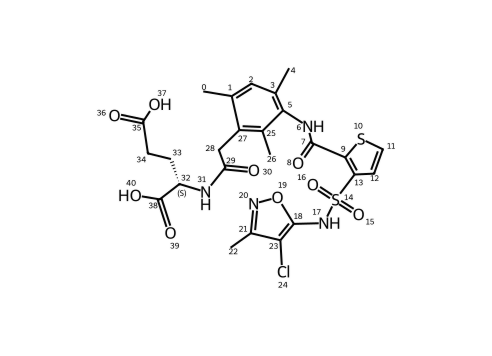 Cc1cc(C)c(NC(=O)c2sccc2S(=O)(=O)Nc2onc(C)c2Cl)c(C)c1CC(=O)N[C@@H](CCC(=O)O)C(=O)O